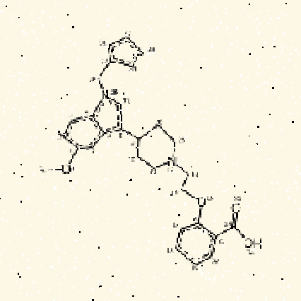 COc1ccc2c(c1)c(C1CCN(CCOc3ccccc3C(=O)O)CC1)cn2Cc1ccsc1